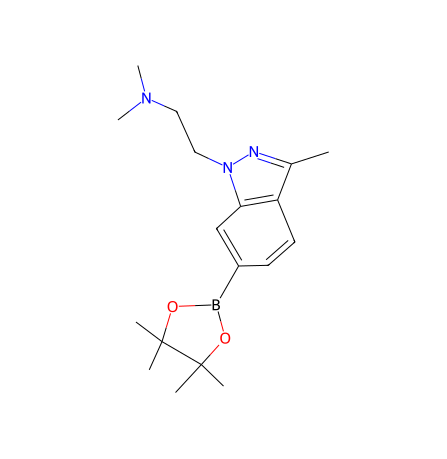 Cc1nn(CCN(C)C)c2cc(B3OC(C)(C)C(C)(C)O3)ccc12